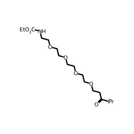 CCOC(=O)NCCOCCOCCOCCOCCC(=O)C(C)C